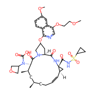 COCCOc1cnc(O[C@@H]2C[C@H]3C(=O)N[C@]4(C(=O)NS(=O)(=O)C5CC5)C[C@H]4C=CCC[C@@H](C)C[C@@H](C)[C@H](N(C(=O)O)C4COC4)C(=O)N3C2)c2ccc(OC)cc12